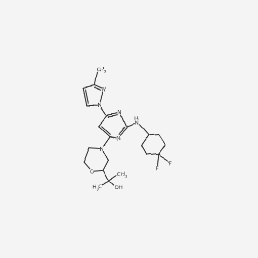 Cc1ccn(-c2cc(N3CCOC(C(C)(C)O)C3)nc(NC3CCC(F)(F)CC3)n2)n1